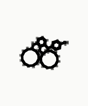 O=C(c1ccc(O)cc1)c1cccc(OC2CCCCCCCCCCC2)c1OC1CCCCCCCCCCC1